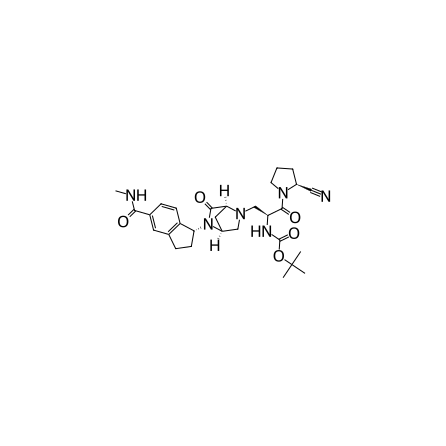 CNC(=O)c1ccc2c(c1)CC[C@H]2N1C(=O)[C@@H]2C[C@H]1CN2C[C@H](NC(=O)OC(C)(C)C)C(=O)N1CCC[C@H]1C#N